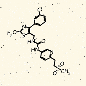 CS(=O)(=O)CCc1ccc(NC(=O)NCc2sc(C(F)(F)F)nc2-c2cccc(Cl)c2)cn1